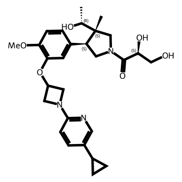 COc1ccc([C@@H]2CN(C(=O)[C@@H](O)CO)C[C@@]2(C)[C@@H](C)O)cc1OC1CN(c2ccc(C3CC3)cn2)C1